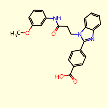 COc1cccc(NC(=O)CCn2c(-c3ccc(C(=O)O)cc3)nc3ccccc32)c1